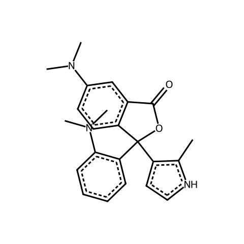 Cc1[nH]ccc1C1(c2ccccc2N(C)C)OC(=O)c2cc(N(C)C)ccc21